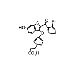 CCc1ccccc1C(=O)c1sc2cc(O)ccc2c1Oc1ccc(C=CC(=O)O)cc1